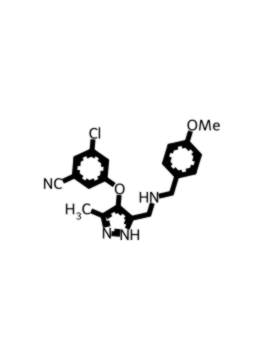 COc1ccc(CNCc2[nH]nc(C)c2Oc2cc(Cl)cc(C#N)c2)cc1